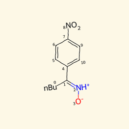 CCCCC(=[NH+][O-])c1ccc([N+](=O)[O-])cc1